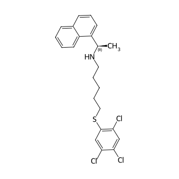 C[C@@H](NCCCCCSc1cc(Cl)c(Cl)cc1Cl)c1cccc2ccccc12